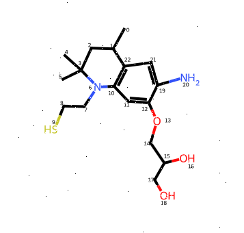 CC1CC(C)(C)N(CCS)c2cc(OCC(O)CO)c(N)cc21